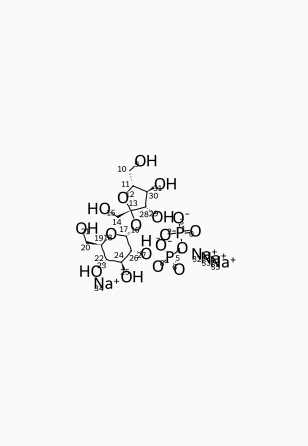 O=P([O-])([O-])OP(=O)([O-])[O-].OC[C@H]1O[C@@](CO)(O[C@H]2O[C@H](CO)[C@@H](O)[C@H](O)[C@H]2O)[C@@H](O)[C@@H]1O.[Na+].[Na+].[Na+].[Na+]